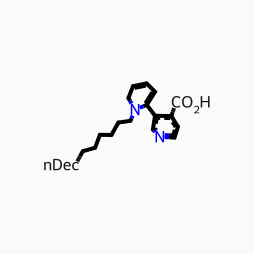 CCCCCCCCCCCCCCCCN1CC=CC=C1c1cnccc1C(=O)O